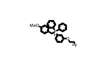 COc1ccc(C[PH](c2ccccc2)(c2ccccc2)c2cccc(OCC[18F])c2)cc1